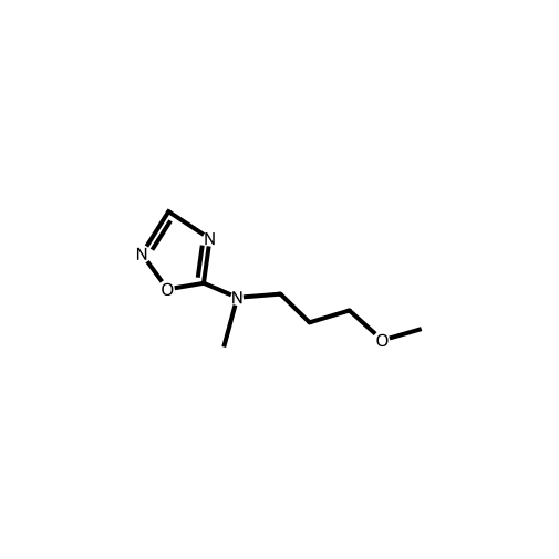 COCCCN(C)c1ncno1